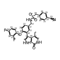 Cc1c[nH]c(=O)c2[nH]cc(-c3cc(CNS(=O)(=O)Cc4ccc(C#N)cc4)ccc3Oc3ccc(F)cc3F)c12